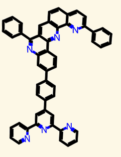 c1ccc(-c2ccc3ccc4cc5c(-c6ccccc6)nc6cc(-c7ccc(-c8cc(-c9ccccn9)nc(-c9ccccn9)c8)cc7)ccc6c5nc4c3n2)cc1